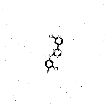 Fc1ccc(Nc2ncnc(-c3ccnc(Cl)c3)n2)cc1Cl